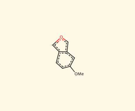 COc1ccc2[c]occ2c1